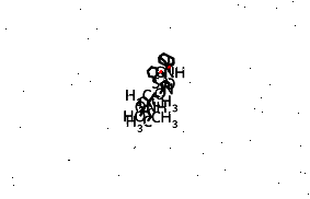 CC(C)[C@H](NC(=O)C(C)(C)COc1noc(C(=O)NC2C3CC4CC(C3)CC2C4)c1SC1CCCCC1)C(=O)O